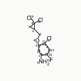 Nc1cc(OCC2CC2(Cl)Cl)c(Cl)cc1F